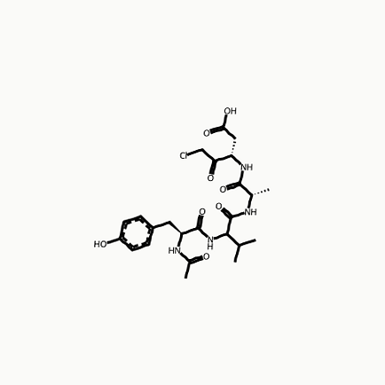 CC(=O)N[C@@H](Cc1ccc(O)cc1)C(=O)NC(C(=O)N[C@@H](C)C(=O)N[C@@H](CC(=O)O)C(=O)CCl)C(C)C